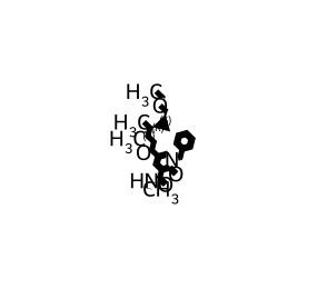 CCOC[C@H]1C[C@@H]1C(C)[C@H](C)CC(=O)c1cc(C(=O)NC)c(=O)n(Cc2ccccc2)c1